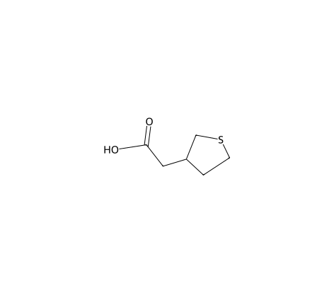 O=C(O)CC1CCSC1